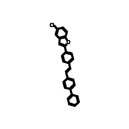 Clc1ccc2oc(-c3ccc(C=Cc4ccc(-c5ccccc5)cc4)cc3)cc2c1